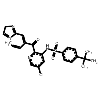 C/C=C\C(=C/C1=NCC=N1)C(=O)c1ncc(Cl)cc1NS(=O)(=O)c1ccc(C(C)(C)C)cc1